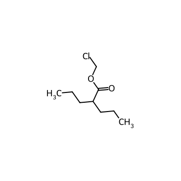 CCCC(CCC)C(=O)OCCl